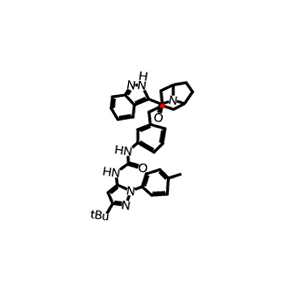 Cc1ccc(-n2nc(C(C)(C)C)cc2NC(=O)Nc2cccc(CC3CC4CCC(C3)N4C(=O)c3[nH]nc4ccccc34)c2)cc1